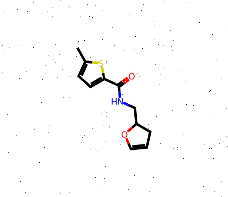 Cc1ccc(C(=O)NCC2CC=CO2)s1